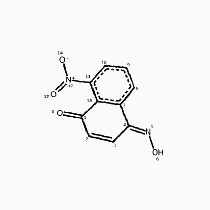 O=C1C=CC(=NO)c2cccc([N+](=O)[O-])c21